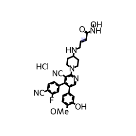 COc1ccc(-c2cnc(N3CCC(NC/C=C/C(=O)NO)CC3)c(C#N)c2-c2ccc(C#N)c(F)c2)cc1O.Cl